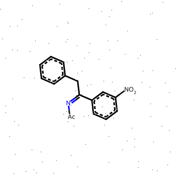 CC(=O)N=C(Cc1ccccc1)c1cccc([N+](=O)[O-])c1